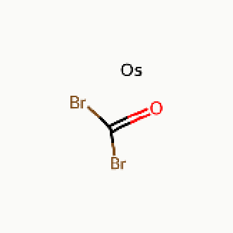 O=C(Br)Br.[Os]